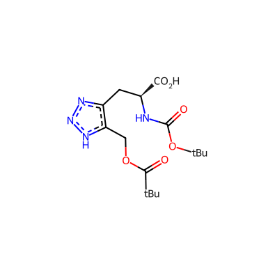 CC(C)(C)OC(=O)N[C@@H](Cc1nn[nH]c1COC(=O)C(C)(C)C)C(=O)O